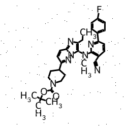 CCc1nc2ccc(C3CCN(C(=O)OC(C)(C)C)CC3)nn2c1N(C)c1nc(-c2ccc(F)cc2)ccc1C#N